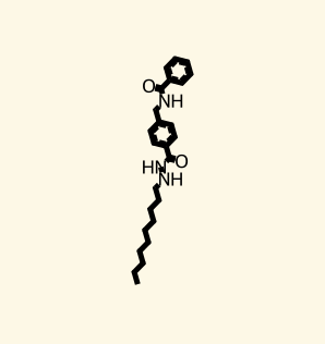 CCCCCCCCCCNNC(=O)c1ccc(CNC(=O)c2ccccc2)cc1